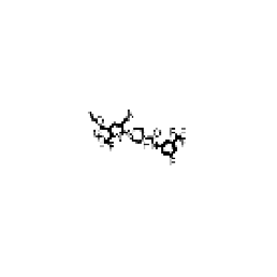 CCOC(=O)c1cc(C#N)c(N2CCN(C(=O)Nc3cc(F)cc(C(F)(F)F)c3)CC2)nc1C(F)(F)F